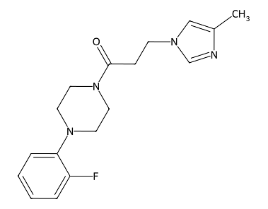 Cc1cn(CCC(=O)N2CCN(c3ccccc3F)CC2)cn1